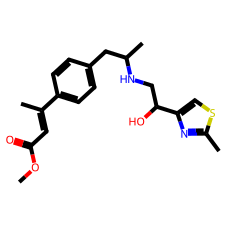 COC(=O)C=C(C)c1ccc(CC(C)NCC(O)c2csc(C)n2)cc1